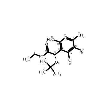 CCOC(=O)[C@@H](OC(C)(C)C)c1c(C)nc(C)c(Br)c1Cl